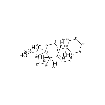 C[C@]12CC[C@H]3[C@@H](CCC4CCCC[C@@]43C)[C@@H]1CC[C@@H]2CO